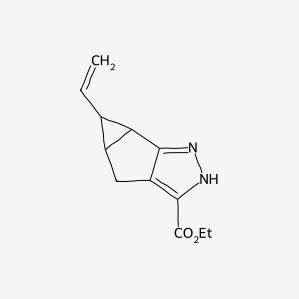 C=CC1C2Cc3c(n[nH]c3C(=O)OCC)C12